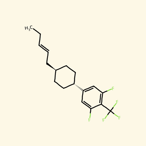 CCC=CC[C@H]1CC[C@H](c2cc(F)c(C(F)(F)F)c(F)c2)CC1